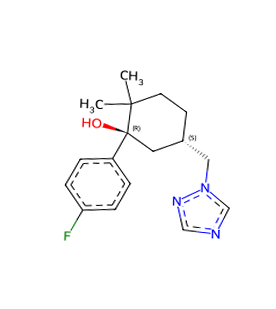 CC1(C)CC[C@H](Cn2cncn2)C[C@]1(O)c1ccc(F)cc1